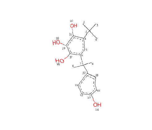 CC(C)(C)c1cc(C(C)(C)c2ccc(O)cc2)c(O)c(O)c1O